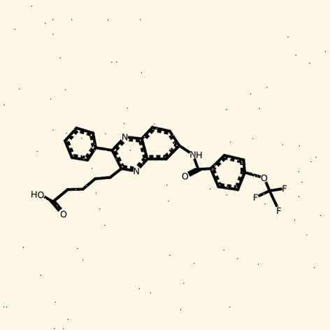 O=C(O)CCCCc1nc2cc(NC(=O)c3ccc(OC(F)(F)F)cc3)ccc2nc1-c1ccccc1